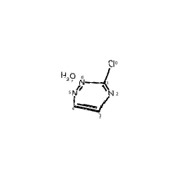 Clc1nccnn1.O